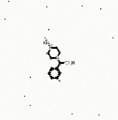 O=C(O)C(c1ccccc1)N1CCN(O)CC1